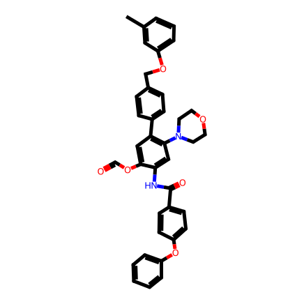 Cc1cccc(OCc2ccc(-c3cc(OC=O)c(NC(=O)c4ccc(Oc5ccccc5)cc4)cc3N3CCOCC3)cc2)c1